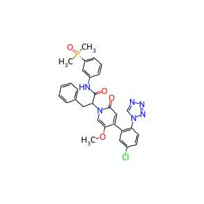 COc1cn(C(Cc2ccccc2)C(=O)Nc2cccc(P(C)(C)=O)c2)c(=O)cc1-c1cc(Cl)ccc1-n1cnnn1